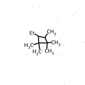 [CH2]C1(C)C(CC)[C](C)C1(C)C